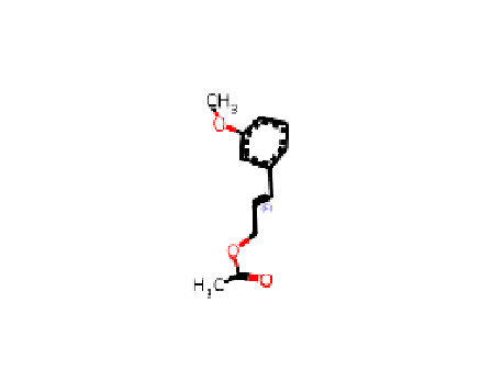 COc1cccc(/C=C/COC(C)=O)c1